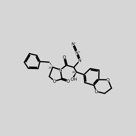 [N-]=[N+]=NC(C(=O)N1C(=O)OC[C@@H]1Cc1ccccc1)[C@H](O)c1ccc2c(c1)OCCO2